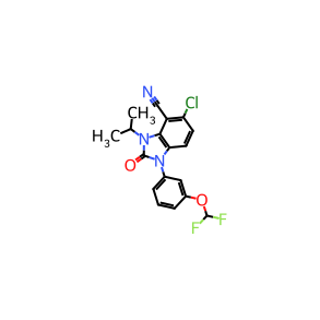 CC(C)n1c(=O)n(-c2cccc(OC(F)F)c2)c2ccc(Cl)c(C#N)c21